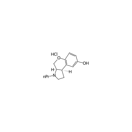 CCCN1CC[C@@H]2c3cc(O)ccc3OC[C@@H]21.Cl